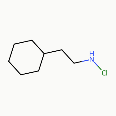 ClNCCC1CCCCC1